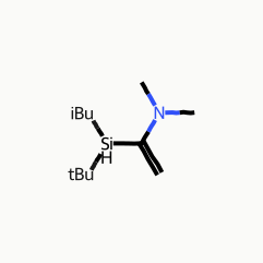 C=C(N(C)C)[SiH](C(C)CC)C(C)(C)C